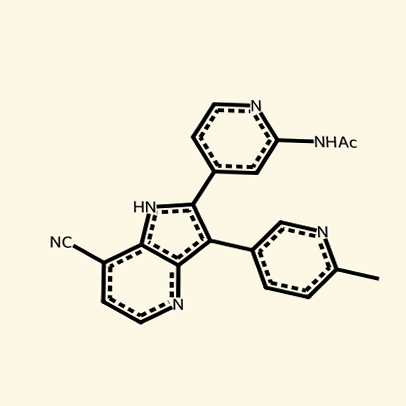 CC(=O)Nc1cc(-c2[nH]c3c(C#N)ccnc3c2-c2ccc(C)nc2)ccn1